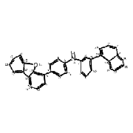 c1cc(Nc2ccc(-c3ccnc4c3oc3ccccc34)cc2)cc(-c2cccc3ccccc23)c1